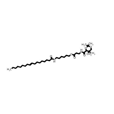 CCCCCCCCC=CCCCCCCCC(=O)NCCCCCCOC(=O)CCNC(=O)C1OC(C)(C)OCC1(C)C